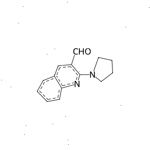 O=Cc1cc2ccccc2nc1N1CCCC1